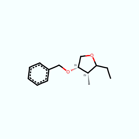 CCC1OC[C@@H](OCc2ccccc2)[C@H]1C